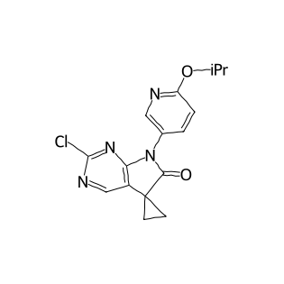 CC(C)Oc1ccc(N2C(=O)C3(CC3)c3cnc(Cl)nc32)cn1